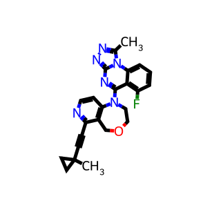 Cc1nnc2nc(N3CCOCc4c3ccnc4C#CC3(C)CC3)c3c(F)cccc3n12